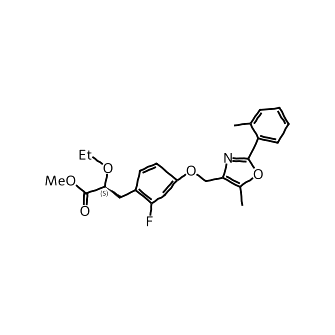 CCO[C@@H](Cc1ccc(OCc2nc(-c3ccccc3C)oc2C)cc1F)C(=O)OC